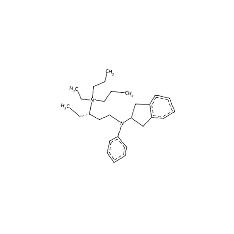 CCC[N+](CC)(CCC)[C@@H](CC)CCN(c1ccccc1)C1Cc2ccccc2C1